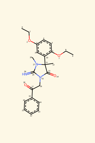 CCOc1ccc(OCC)c(C2(C)C(=O)N(CC(=O)c3ccccc3)C(=N)N2C)c1